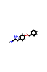 N#C[C@@H](N)Cc1ccc(OCc2ccccc2)cc1